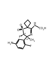 C[C@]1(c2cc(N)ccc2F)N=C(NC(=O)O)C2(CCC2)S(=O)(=O)[C@@H]1F